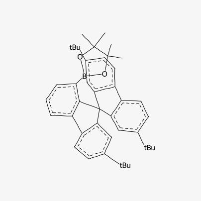 CC(C)(C)c1ccc2c(c1)C1(c3cc(C(C)(C)C)ccc3-2)c2cc(C(C)(C)C)ccc2-c2cccc(B3OC(C)(C)C(C)(C)O3)c21